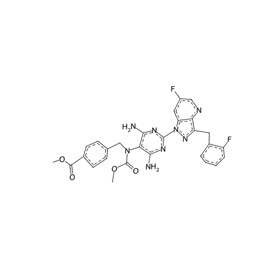 COC(=O)c1ccc(CN(C(=O)OC)c2c(N)nc(-n3nc(Cc4ccccc4F)c4ncc(F)cc43)nc2N)cc1